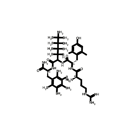 Bc1c(B)c(B)c(C[C@H](NC(=O)C(NC(=O)[C@H](Cc2c(C)cc(O)cc2C)NC(=O)[C@H](N)CCCNC(=N)N)C(B)(B)C(B)(B)C(B)(B)C(B)(B)N)C(N)=O)c(B)c1B